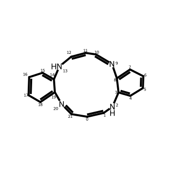 C1=CNc2ccccc2N=CC=CNc2ccccc2N=C1